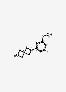 OCc1cncc(N2CC3(COC3)C2)n1